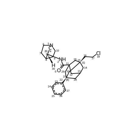 O=C(N[C@H]1CN2CCC1CC2)C12CC3C[C@@](CCCl)(C1)C[C@](c1ccccc1)(C3)C2